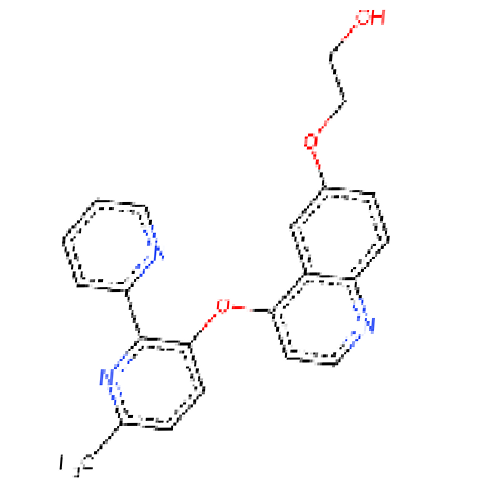 Cc1ccc(Oc2ccnc3ccc(OCCO)cc23)c(-c2ccccn2)n1